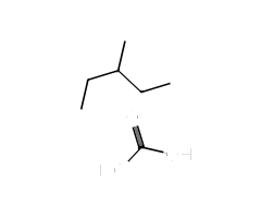 CCC(C)CC.O=C(O)O